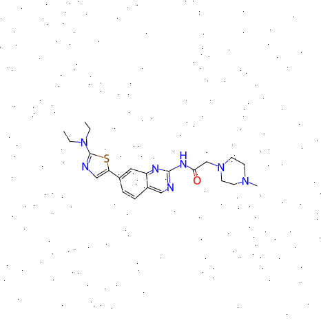 CCN(CC)c1ncc(-c2ccc3cnc(NC(=O)CN4CCN(C)CC4)nc3c2)s1